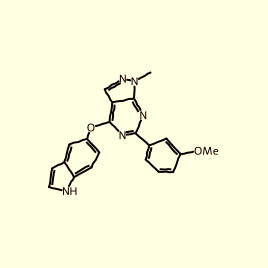 COc1cccc(-c2nc(Oc3ccc4[nH]ccc4c3)c3cnn(C)c3n2)c1